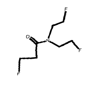 O=C(CCF)N(CCF)CCF